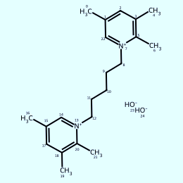 Cc1cc(C)c(C)[n+](CCCCC[n+]2cc(C)cc(C)c2C)c1.[OH-].[OH-]